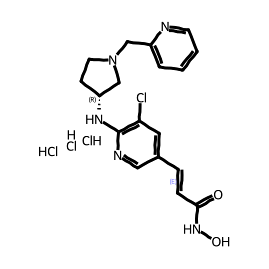 Cl.Cl.Cl.O=C(/C=C/c1cnc(N[C@@H]2CCN(Cc3ccccn3)C2)c(Cl)c1)NO